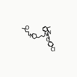 CC(=O)CCCN1CCC(CCCn2c(COc3ccc(Cl)cc3)nc3c(C)cccc32)CC1